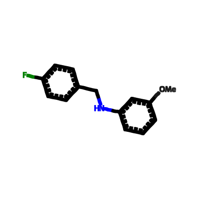 COc1cccc(NCc2ccc(F)cc2)c1